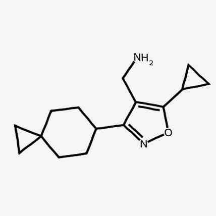 NCc1c(C2CCC3(CC2)CC3)noc1C1CC1